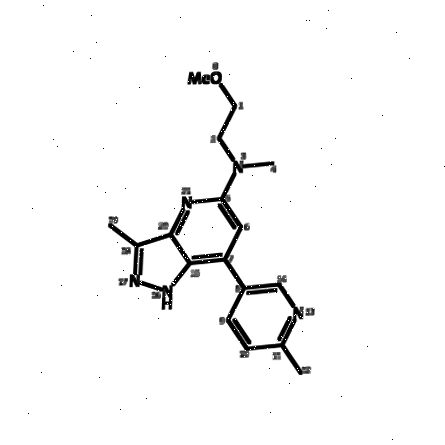 COCCN(C)c1cc(-c2ccc(C)nc2)c2[nH]nc(C)c2n1